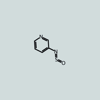 O=S=Nc1cccnc1